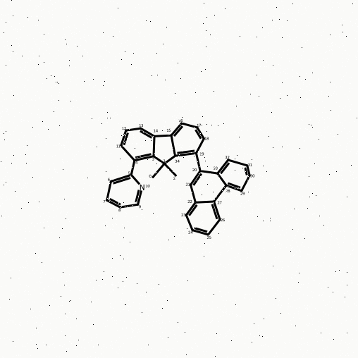 CC1(C)c2c(-c3ccccn3)cccc2-c2cccc(-c3cc4ccccc4c4ccccc34)c21